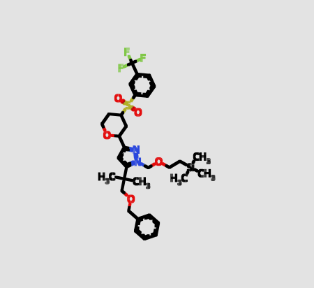 CC(C)(COCc1ccccc1)c1cc(C2CC(S(=O)(=O)c3cccc(C(F)(F)F)c3)CCO2)nn1COCC[Si](C)(C)C